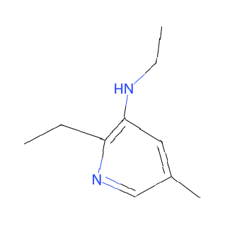 CCNc1cc(C)cnc1CC